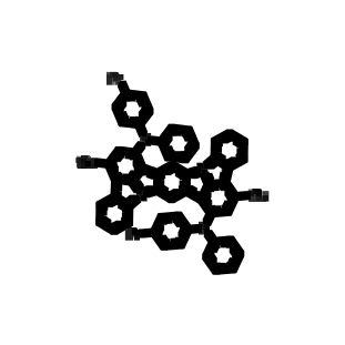 CC(C)c1ccc(N(c2ccccc2)c2cc(C(C)(C)C)c3c4ccccc4n4c5cc6c7c(N(c8ccccc8)c8ccc(C(C)C)cc8)cc(C(C)(C)C)c8c9ccccc9n(c6cc5c2c34)c78)cc1